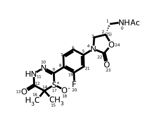 CC(=O)NC[C@H]1CN(c2ccc(C3=NNC(=O)C(C)(C)[S+]3[O-])c(F)c2)C(=O)O1